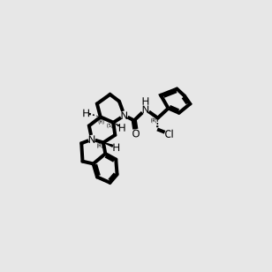 O=C(N[C@@H](CCl)c1ccccc1)N1CCC[C@@H]2CN3CCc4ccccc4[C@H]3C[C@@H]21